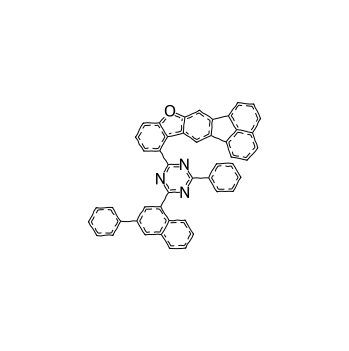 c1ccc(-c2cc(-c3nc(-c4ccccc4)nc(-c4cccc5oc6cc7c(cc6c45)-c4cccc5cccc-7c45)n3)c3ccccc3c2)cc1